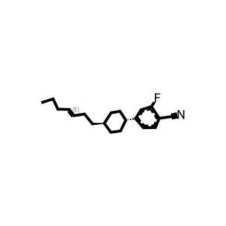 CCC/C=C/CC[C@H]1CC[C@H](c2ccc(C#N)c(F)c2)CC1